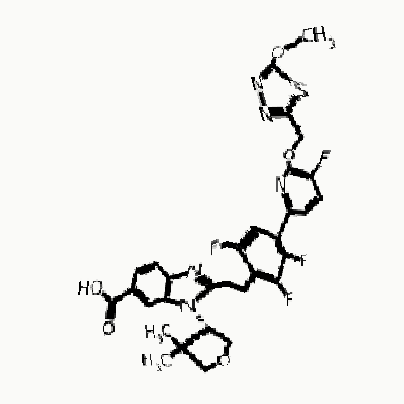 COc1nnc(COc2nc(-c3cc(F)c(Cc4nc5ccc(C(=O)O)cc5n4[C@@H]4COCC4(C)C)c(F)c3F)ccc2F)s1